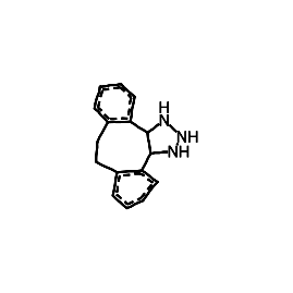 c1ccc2c(c1)CCc1ccccc1C1NNNC21